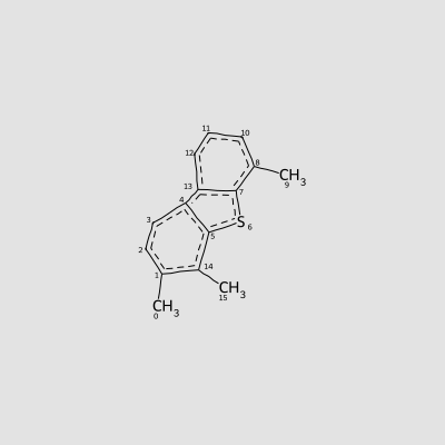 Cc1ccc2c(sc3c(C)cccc32)c1C